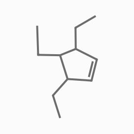 CCC1C=CC(CC)C1CC